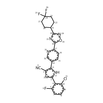 N#Cc1nc(-c2c(F)cccc2Cl)[nH]c1-c1ccc(-c2nc(C3CCC(F)(F)CC3)no2)nc1